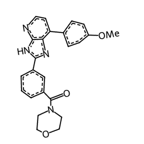 COc1ccc(-c2ccnc3[nH]c(-c4cccc(C(=O)N5CCOCC5)c4)nc23)cc1